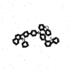 c1ccc(-n2c3cc(-c4ccc(N(c5ccc(-c6cccc7c6sc6ccccc67)cc5)c5cccc6oc7ccccc7c56)cc4)ccc3c3ccc4ccccc4c32)cc1